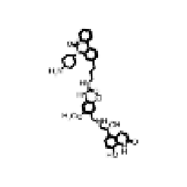 COc1cc(NC(=O)NCCCc2ccc(-c3ccccc3)c(N(C(=O)O)C3CCC(N)CC3)c2)c(Cl)cc1CNC[C@H](O)c1ccc(O)c2[nH]c(=O)ccc12